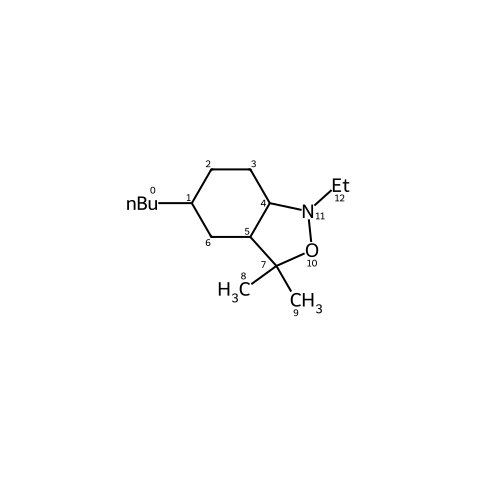 CCCCC1CCC2C(C1)C(C)(C)ON2CC